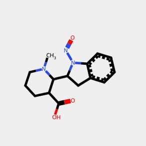 CN1CCCC(C(=O)O)C1C1Cc2ccccc2N1N=O